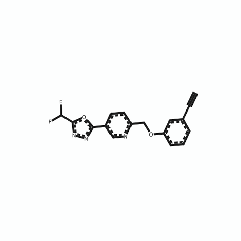 C#Cc1cccc(OCc2ccc(-c3nnc(C(F)F)o3)cn2)c1